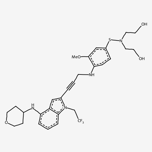 COc1cc(SN(CCO)CCO)ccc1NCC#Cc1cc2c(NC3CCOCC3)cccc2n1CC(F)(F)F